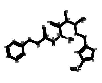 CCOC(=O)c1csc(CCC(C(C)C)N(C)C(=O)[C@@H](NC(=O)OCc2ccccc2)[C@@H](C)CC)n1